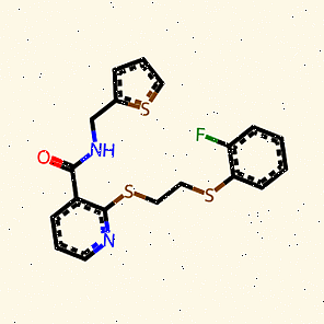 O=C(NCc1cccs1)c1cccnc1SCCSc1ccccc1F